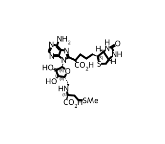 CSCC[C@H](NC[C@H]1O[C@@H](n2c(C(CCC[C@@H]3SC[C@@H]4NC(=O)N[C@@H]43)C(=O)O)nc3c(N)ncnc32)[C@H](O)[C@@H]1O)C(=O)O